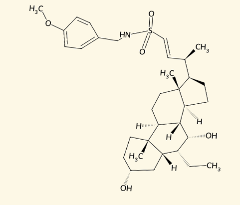 CC[C@H]1[C@@H](O)[C@@H]2[C@H](CC[C@]3(C)[C@@H]([C@H](C)/C=C/S(=O)(=O)NCc4ccc(OC)cc4)CC[C@@H]23)[C@@]2(C)CC[C@@H](O)C[C@@H]12